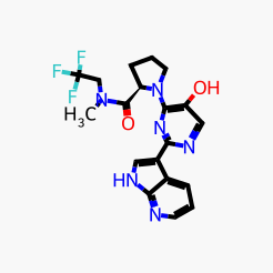 CN(CC(F)(F)F)C(=O)[C@H]1CCCN1c1nc(-c2c[nH]c3ncccc23)ncc1O